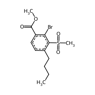 CCCCc1ccc(C(=O)OC)c(Br)c1S(C)(=O)=O